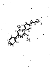 CCSc1nc(-c2ccncc2)cc(=O)n1-c1ccc(OCC(F)(F)F)cc1